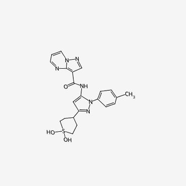 Cc1ccc(-n2nc(C3CCS(O)(O)CC3)cc2NC(=O)c2cnn3cccnc23)cc1